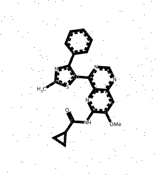 COc1cc2ncnc(-c3sc(C)nc3-c3ccccc3)c2nc1NC(=O)C1CC1